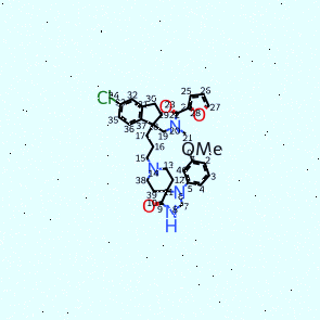 COc1cccc(N2CNC(=O)C23CCN(CCCC2(CN(C)C(=O)c4ccco4)CCc4cc(Cl)ccc42)CC3)c1